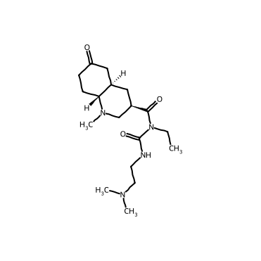 CCN(C(=O)NCCN(C)C)C(=O)[C@@H]1C[C@@H]2CC(=O)CC[C@H]2N(C)C1